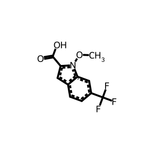 COn1c(C(=O)O)cc2ccc(C(F)(F)F)cc21